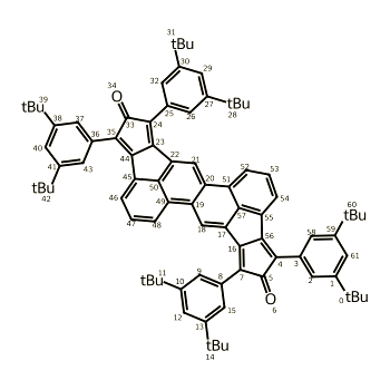 CC(C)(C)c1cc(-c2c(=O)c(-c3cc(C(C)(C)C)cc(C(C)(C)C)c3)c3c4cc5c(cc6c7c(-c8cc(C(C)(C)C)cc(C(C)(C)C)c8)c(=O)c(-c8cc(C(C)(C)C)cc(C(C)(C)C)c8)c7c7cccc5c76)c5cccc(c23)c54)cc(C(C)(C)C)c1